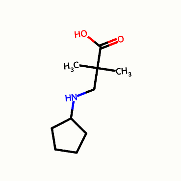 CC(C)(CNC1CCCC1)C(=O)O